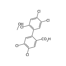 CO.O=C(O)c1cc(Cl)c(Cl)cc1-c1cc(Cl)c(Cl)cc1Cl